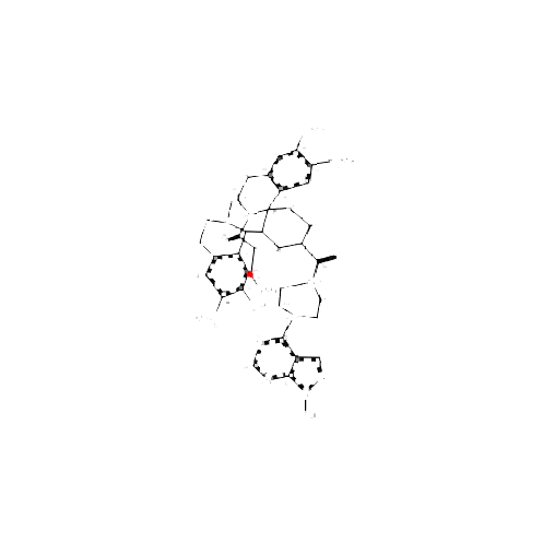 CCCCn1ncc2c(N3CCN(C(=O)C4CCC5(c6cc(OC)c(OC)cc6CCN5C(=O)CCNC)C(C5c6cc(OC)c(OC)cc6CCN5CC)C4)CC3)ncnc21